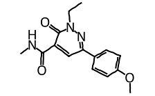 CCn1nc(-c2ccc(OC)cc2)cc(C(=O)NC)c1=O